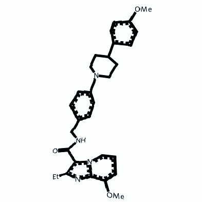 CCc1nc2c(OC)cccn2c1C(=O)NCc1ccc(N2CCC(c3ccc(OC)cc3)CC2)cc1